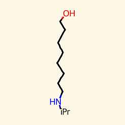 CC(C)NCCCCCCCCO